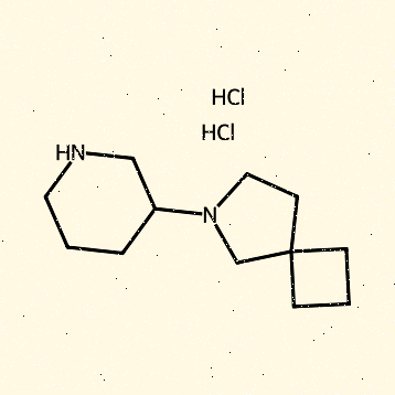 C1CNCC(N2CCC3(CCC3)C2)C1.Cl.Cl